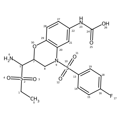 CCS(=O)(=O)C(N)C1CN(S(=O)(=O)c2ccc(F)cc2)c2cc(NC(=O)O)ccc2O1